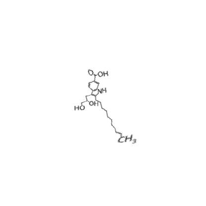 CCCCCCCCCCCc1[nH]c2cc(C(=O)O)ccc2c1CC(O)CO